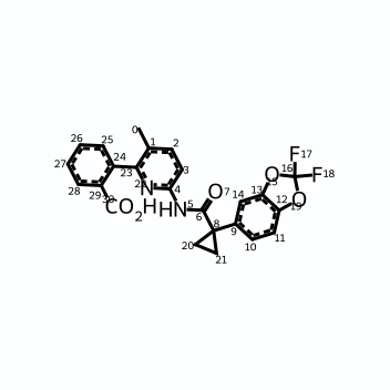 Cc1ccc(NC(=O)C2(c3ccc4c(c3)OC(F)(F)O4)CC2)nc1-c1ccccc1C(=O)O